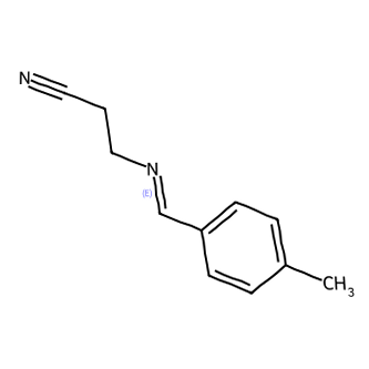 Cc1ccc(/C=N/CCC#N)cc1